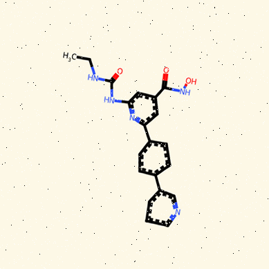 CCNC(=O)Nc1cc(C(=O)NO)cc(-c2ccc(-c3cccnc3)cc2)n1